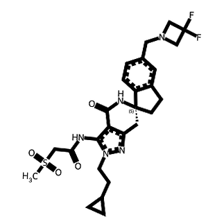 CS(=O)(=O)CC(=O)Nc1c2c(nn1CCC1CC1)C[C@]1(CCc3cc(CN4CC(F)(F)C4)ccc31)NC2=O